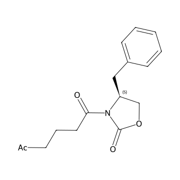 CC(=O)CCCC(=O)N1C(=O)OC[C@@H]1Cc1ccccc1